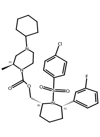 C[C@H]1CN(C2CCCCC2)CCN1C(=O)OC[C@H]1CCC[C@@H](c2cccc(F)c2)N1S(=O)(=O)c1ccc(Cl)cc1